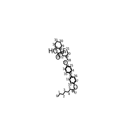 CCCCCC[C@H](C)Oc1ccc(-c2ccc(OCC(CC)C[C@@](F)(C(=O)O)C3CCCCC3)cc2)cc1